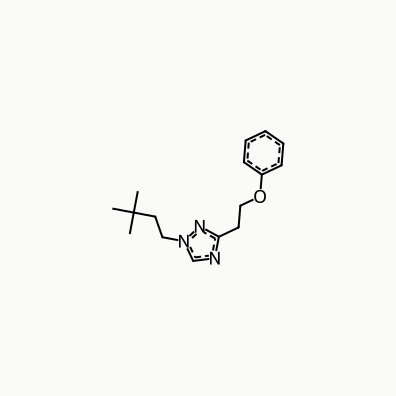 CC(C)(C)CCn1cnc(CCOc2ccccc2)n1